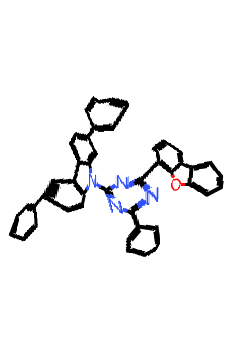 c1ccc(-c2ccc3c(c2)c2ccc(-c4ccccc4)cc2n3-c2nc(-c3ccccc3)nc(-c3cccc4c3oc3ccccc34)n2)cc1